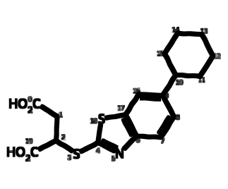 O=C(O)CC(Sc1nc2ccc(C3CCCCC3)cc2s1)C(=O)O